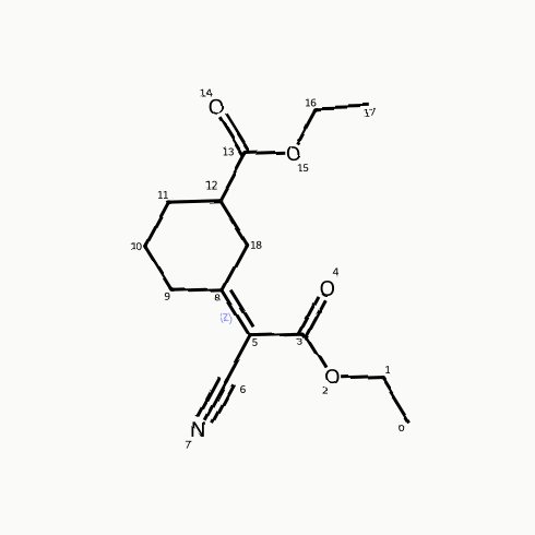 CCOC(=O)/C(C#N)=C1/CCCC(C(=O)OCC)C1